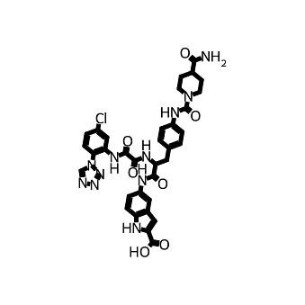 NC(=O)C1CCN(C(=O)Nc2ccc(CC(NC(=O)C(=O)Nc3cc(Cl)ccc3-n3cnnn3)C(=O)Nc3ccc4[nH]c(C(=O)O)cc4c3)cc2)CC1